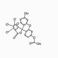 O=C(O)Oc1ccc2c(c1)Oc1cc(O)ccc1C21OC(=O)c2c(Cl)c(Cl)c(Cl)c(Cl)c21